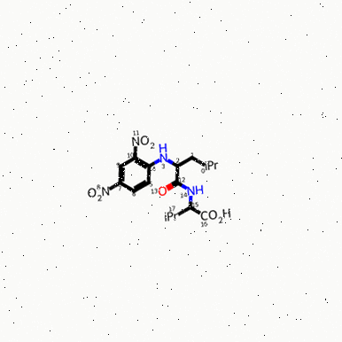 CC(C)CC(Nc1ccc([N+](=O)[O-])cc1[N+](=O)[O-])C(=O)NC(C(=O)O)C(C)C